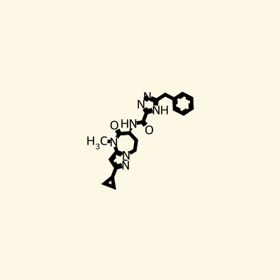 CN1C(=O)[C@@H](NC(=O)c2nnc(Cc3ccccc3)[nH]2)CCn2nc(C3CC3)cc21